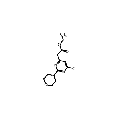 CCOC(=O)Cc1cc(Cl)nc(N2CCOCC2)n1